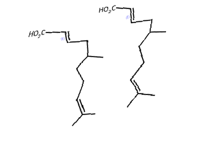 CC(C)=CCCC(C)C/C=C/C(=O)O.CC(C)=CCCC(C)C/C=C/C(=O)O